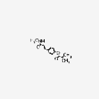 C=C(C)C(=O)Oc1ccc(C=CC(=O)NC)cc1